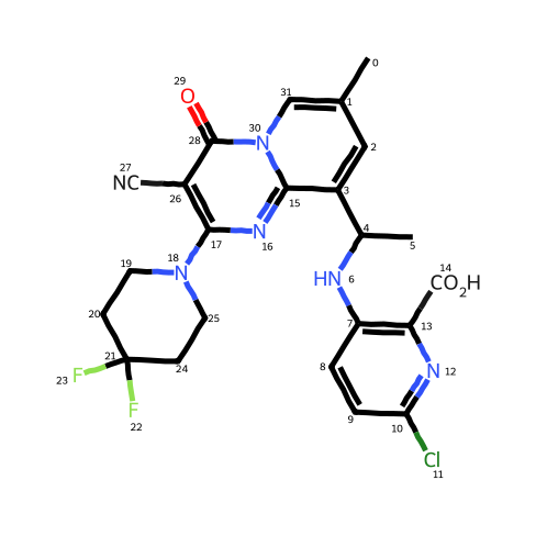 Cc1cc(C(C)Nc2ccc(Cl)nc2C(=O)O)c2nc(N3CCC(F)(F)CC3)c(C#N)c(=O)n2c1